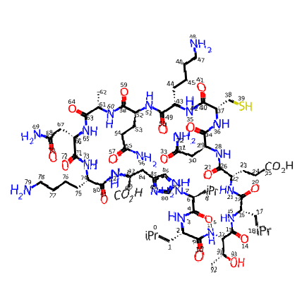 CC(C)C[C@H](NC(=O)[C@@H](N)C(C)C)C(=O)N[C@H](C(=O)N[C@@H](CC(C)C)C(=O)N[C@@H](CCC(=O)O)C(=O)N[C@@H](CC(N)=O)C(=O)N[C@@H](CS)C(=O)N[C@@H](CCCCN)C(=O)N[C@@H](CCC(N)=O)C(=O)N[C@@H](C)C(=O)N[C@@H](CC(N)=O)C(=O)N[C@@H](CCCCN)C(=O)N[C@@H](Cc1c[nH]cn1)C(=O)O)[C@@H](C)O